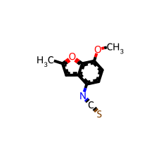 COc1ccc(N=C=S)c2cc(C)oc12